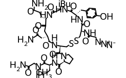 CC[C@H](C)[C@@H]1NC(=O)[C@H](Cc2ccc(O)cc2)NC(=O)[C@@H](NC(=O)CN=[N+]=[N-])CSSC[C@@H](C(=O)N2CCC[C@H]2C(=O)N[C@@H](CC(C)C)C(=O)N(C)CC(N)=O)NC(=O)[C@H](CC(N)=O)CC(=O)[C@H](CCC(N)=O)NC1=O